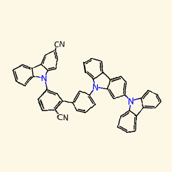 N#Cc1ccc2c(c1)c1ccccc1n2-c1ccc(C#N)c(-c2cccc(-n3c4ccccc4c4ccc(-n5c6ccccc6c6ccccc65)cc43)c2)c1